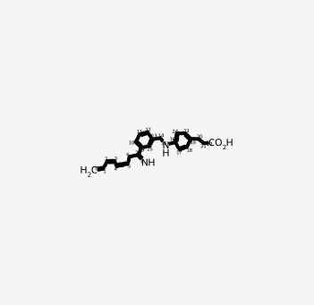 C=C/C=C\C=C/CC(=N)c1cccc(CNc2ccc(CCC(=O)O)cc2)c1